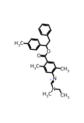 CCN(C)/C=N/c1cc(C)c(C(=O)OC(Cc2ccccc2)c2ccc(C)cc2)cc1C